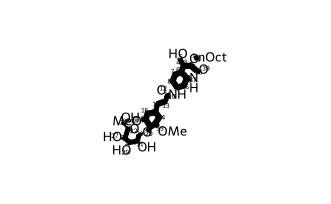 CCCCCCCCOc1c(CO)c2ccc(NC(=O)/C=C/c3cc(OC)c(O[C@@H]4O[C@H](CO)[C@H](O)[C@H](O)[C@H]4O)c(OC)c3)cc2[nH]c1=O